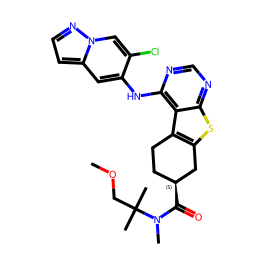 COCC(C)(C)N(C)C(=O)[C@H]1CCc2c(sc3ncnc(Nc4cc5ccnn5cc4Cl)c23)C1